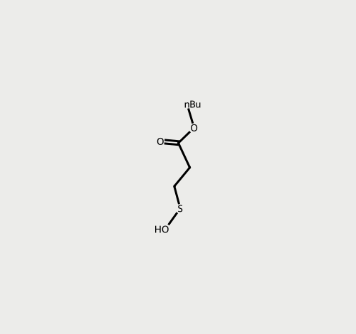 CCCCOC(=O)CCSO